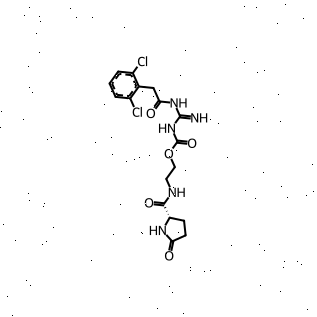 N=C(NC(=O)Cc1c(Cl)cccc1Cl)NC(=O)OCCNC(=O)[C@@H]1CCC(=O)N1